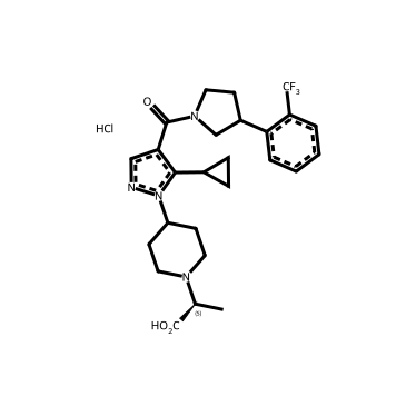 C[C@@H](C(=O)O)N1CCC(n2ncc(C(=O)N3CCC(c4ccccc4C(F)(F)F)C3)c2C2CC2)CC1.Cl